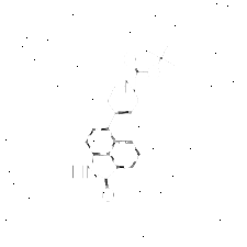 CC(C)(C)OC(=O)N1CC=C(c2ccc3c4c(cccc24)C(=O)N3)CC1